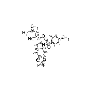 Cc1ccc(S(=O)(=O)n2c(C(=O)C(C#N)=CN(C)C)cc3cc4c(cc32)OC(F)(F)O4)cc1